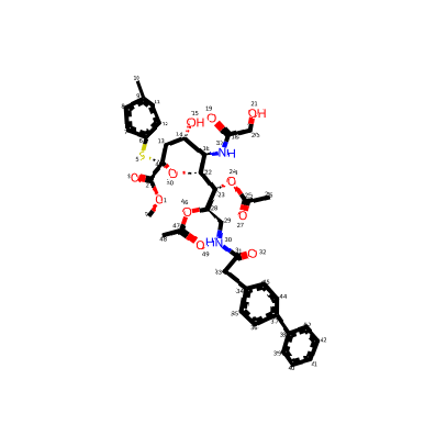 COC(=O)[C@@]1(Sc2ccc(C)cc2)C[C@H](O)[C@@H](NC(=O)CO)[C@H]([C@H](OC(C)=O)[C@@H](CNC(=O)Cc2ccc(-c3ccccc3)cc2)OC(C)=O)O1